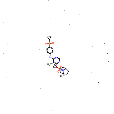 Cc1c(Nc2ccc(S(=O)(=O)C3CC3)cc2)ncnc1O[C@H]1CC2CC[C@@H](C1)N2S(=O)(=O)C1CC1